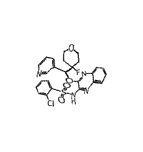 O=S(=O)(Nc1nc2ccccc2nc1OC(c1cccnc1)C1(F)CCOCC1)c1ccccc1Cl